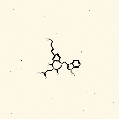 CCCC=Cc1ccc2c(c1)C(=O)N(CCC(=O)O)C(=O)CN2Cc1cn(C)c2ccccc12